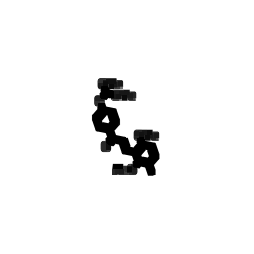 COc1ccc(C)c(OC)c1C=CC(=O)c1ccc(OC(OC)OC)cc1